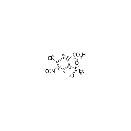 CCS(=O)(=O)c1cc([N+](=O)[O-])c(Cl)cc1C(=O)O